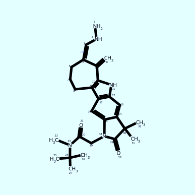 C=C1/C(=C\NN)CCCc2c1[nH]c1cc3c(cc21)N(CC(=O)N(C)C(C)(C)C)C(=O)C3(C)C